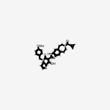 COc1ccc(Cn2c(=O)c(-c3nc4cc5c(cc4[nH]3)CCN(C(=O)C3CC3)CC5)c(O)c3sccc32)cc1